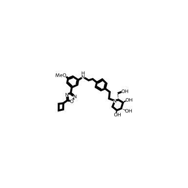 COc1cc(NCCc2ccc(CCN3C[C@H](O)[C@@H](O)[C@H](O)[C@H]3CO)cc2)cc(-c2noc(C3CCC3)n2)c1